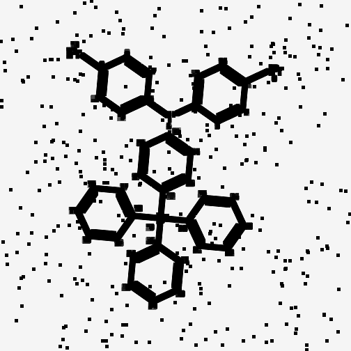 CC(C)c1ccc([I+]c2ccc(C(C)C)cc2)cc1.c1ccc([B-](c2ccccc2)(c2ccccc2)c2ccccc2)cc1